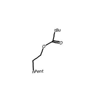 CCCCCCCOC(=O)C(C)(C)C